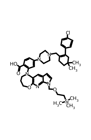 CC1(C)CCC(CN2CCN(c3ccc(C(=O)O)c(N4CCCOc5nc6c(ccn6COCC[Si](C)(C)C)cc54)c3)CC2)=C(c2ccc(Cl)cc2)C1